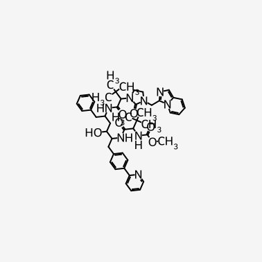 COC(=O)NC(C(=O)NC(Cc1ccc(-c2ccccn2)cc1)C(O)CC(Cc1ccccc1)NC(=O)C(N1CCN(Cc2ncc3ccccn23)C1=O)C(C)(C)C)C(C)(C)C